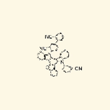 N#Cc1cccc(-n2c3ccccc3c3c4c(c5ccccc5n4-c4ccc(-c5ccccc5C#N)cc4C#N)c4oc5ccccc5c4c32)c1